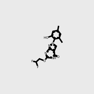 Cc1cc(C)c(-n2cc3c(=O)[nH]c(OCC(F)F)nc3n2)c(O)c1